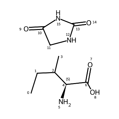 CCC(C)[C@H](N)C(=O)O.O=C1CNC(=O)N1